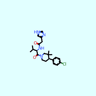 CC(C)[C@@H](NC(=O)Cc1c[nH]cn1)C(=O)N1CCC(c2ccc(Cl)cc2)C(C)(C)C1